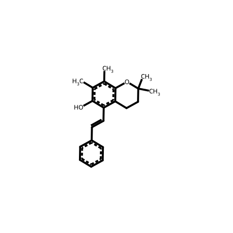 Cc1c(C)c2c(c(/C=C/c3ccccc3)c1O)CCC(C)(C)O2